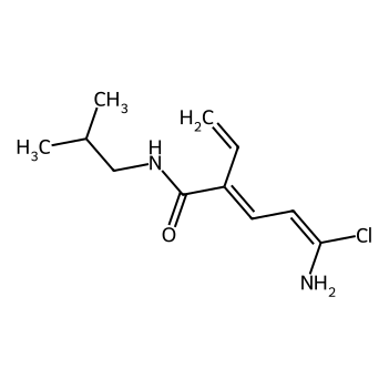 C=C/C(=C\C=C(/N)Cl)C(=O)NCC(C)C